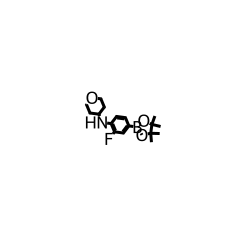 CC1(C)OB(c2ccc(NC3CCOCC3)c(F)c2)OC1(C)C